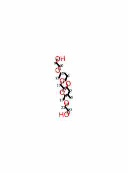 CCCCOCCC.OCCOCCOCCOCCOCCO